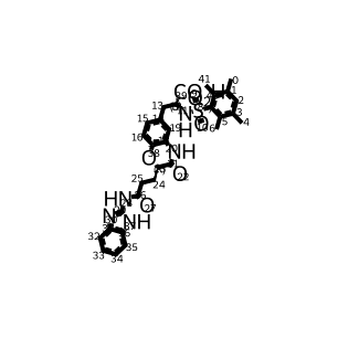 Cc1cc(C)c(C)c(S(=O)(=O)N[C@@H](Cc2ccc3c(c2)NC(=O)[C@@H](CCC(=O)Nc2nc4ccccc4[nH]2)O3)C(=O)O)c1C